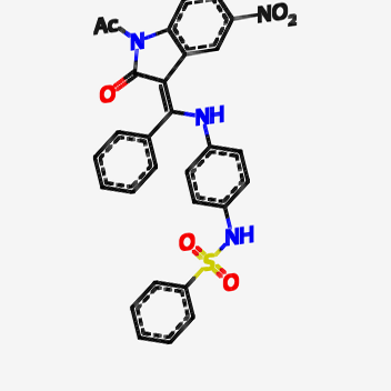 CC(=O)N1C(=O)C(=C(Nc2ccc(NS(=O)(=O)c3ccccc3)cc2)c2ccccc2)c2cc([N+](=O)[O-])ccc21